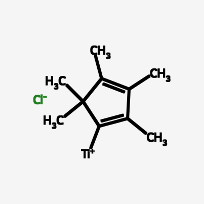 CC1=C(C)C(C)(C)[C]([Ti+])=C1C.[Cl-]